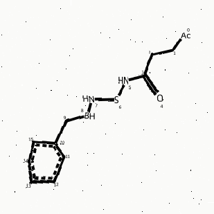 CC(=O)CCC(=O)NSNBCc1ccccc1